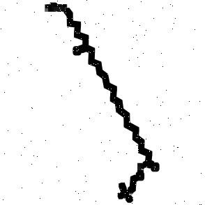 CCCCCCCCCCCCCCCC(=O)CCCCCCCCC=CCCCCCCCC(=O)[P-]OCC[N+](C)(C)C